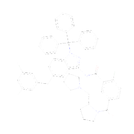 O=C(Nc1nn(C(c2ccccc2)(c2ccccc2)c2ccccc2)c2ccc(Cc3cc(F)cc(F)c3)cc12)c1cc(C(=O)N2CCCC2CN2CCCC2)ccc1F